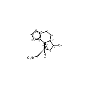 O=C1C[C@H]2[C@H](C[N+](=O)[O-])CCC23c2sccc2CCN13